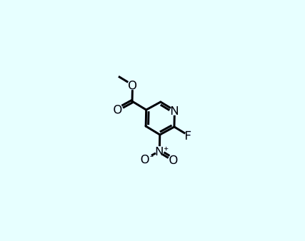 COC(=O)c1cnc(F)c([N+](=O)[O-])c1